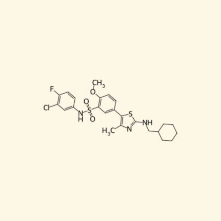 COc1ccc(-c2sc(NCC3CCCCC3)nc2C)cc1S(=O)(=O)Nc1ccc(F)c(Cl)c1